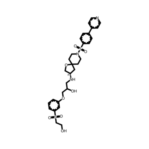 O=S(=O)(CCO)c1cccc(OCC(O)CN[C@H]2COC3(CCN(S(=O)(=O)c4ccc(-c5ccncc5)cc4)CC3)C2)c1